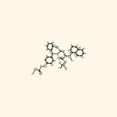 COC(=O)COc1ccc(C2C[C@H](CN(C(=O)OC(C)(C)C)[C@H](C)c3cccc4ccccc34)Oc3ccccc32)cc1